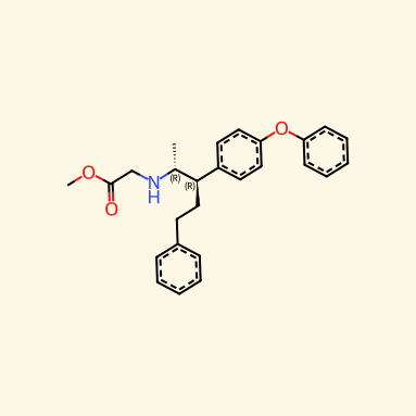 COC(=O)CN[C@H](C)[C@H](CCc1ccccc1)c1ccc(Oc2ccccc2)cc1